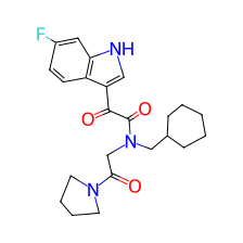 O=C(C(=O)N(CC(=O)N1CCCC1)CC1CCCCC1)c1c[nH]c2cc(F)ccc12